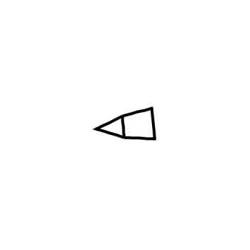 C1CC2CC12